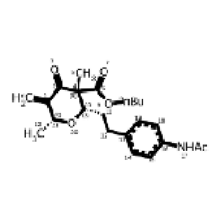 C=C1C(=O)[C@](C)(C(=O)OCCCC)[C@H](CCc2ccc(NC(C)=O)cc2)O[C@@H]1C